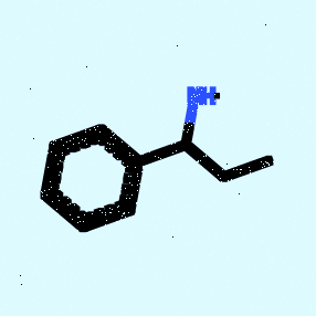 CCC([NH])c1ccccc1